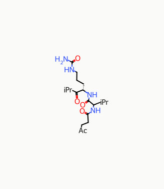 CC(=O)CCC(=O)NC(C(=O)N[C@@H](CCCNC(N)=O)C(=O)C(C)C)C(C)C